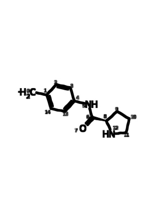 [CH2]c1ccc(NC(=O)[C@H]2CCCN2)cc1